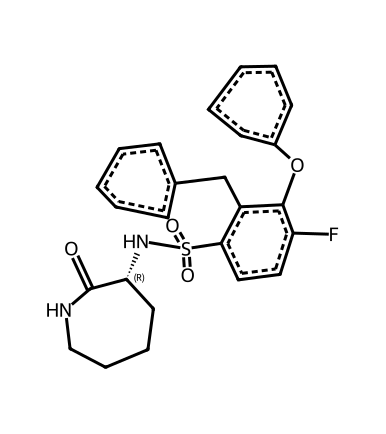 O=C1NCCCC[C@H]1NS(=O)(=O)c1ccc(F)c(Oc2ccccc2)c1Cc1ccccc1